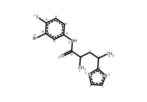 CC(CC(C)c1nccs1)C(=O)Nc1ccc(F)c(Br)c1